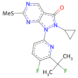 CSc1ncc2c(=O)n(C3CC3)n(-c3ccc(F)c(C(C)(C)F)n3)c2n1